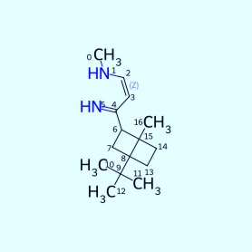 CN/C=C\C(=N)C1CC2(C(C)(C)C)CCC12C